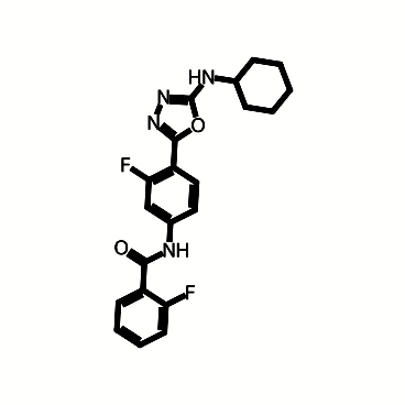 O=C(Nc1ccc(-c2nnc(NC3CCCCC3)o2)c(F)c1)c1ccccc1F